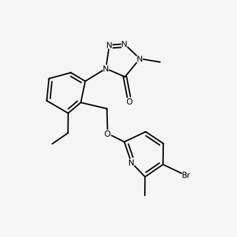 CCc1cccc(-n2nnn(C)c2=O)c1COc1ccc(Br)c(C)n1